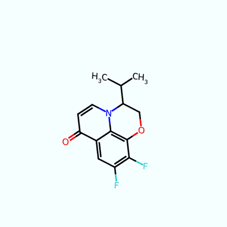 CC(C)C1COc2c(F)c(F)cc3c(=O)ccn1c23